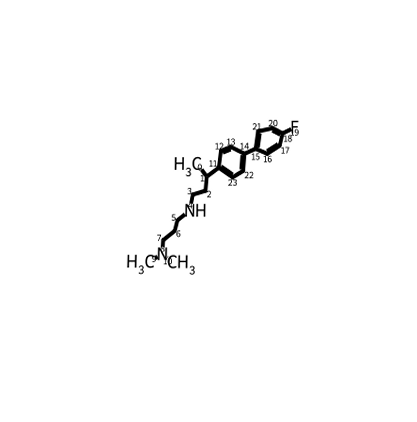 CC(CCNCCCN(C)C)c1ccc(-c2ccc(F)cc2)cc1